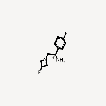 N[C@H](CN1CC(F)C1)c1ccc(F)cc1